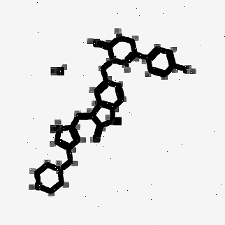 Cl.O=C1Nc2ccc(CN3N=C(c4ccc(Cl)cc4)CSC3=O)cc2/C1=C/c1cc(CN2CCOCC2)c[nH]1